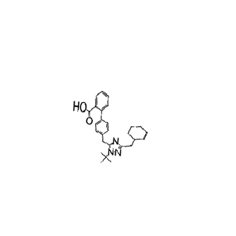 CC(C)(C)n1nc(CC2CCCCC2)nc1Cc1ccc(-c2ccccc2C(=O)O)cc1